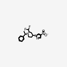 CC(c1ccccc1)N1CCC(n2cc([N+](=O)[O-])cn2)CC1C(F)F